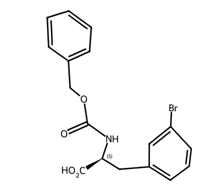 O=C(N[C@@H](Cc1cccc(Br)c1)C(=O)O)OCc1ccccc1